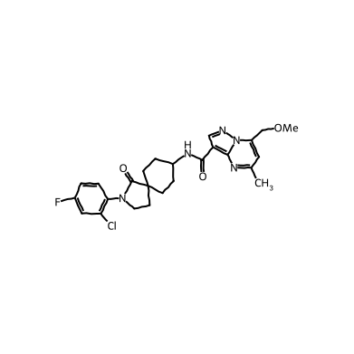 COCc1cc(C)nc2c(C(=O)NC3CCC4(CC3)CCN(c3ccc(F)cc3Cl)C4=O)cnn12